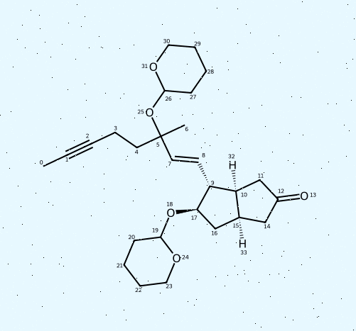 CC#CCCC(C)(/C=C/[C@@H]1[C@H]2CC(=O)C[C@H]2C[C@H]1OC1CCCCO1)OC1CCCCO1